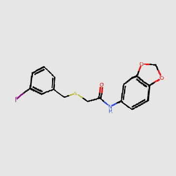 O=C(CSCc1cccc(I)c1)Nc1ccc2c(c1)OCO2